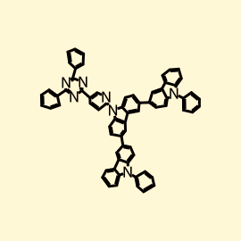 c1ccc(-c2nc(-c3ccccc3)nc(-c3ccc(-n4c5ccc(-c6ccc7c(c6)c6ccccc6n7-c6ccccc6)cc5c5cc(-c6ccc7c(c6)c6ccccc6n7-c6ccccc6)ccc54)nc3)n2)cc1